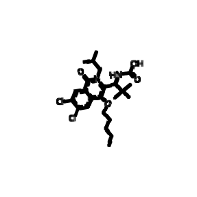 CCCCCOc1c(C(NC(=O)O)C(C)(C)C)n(CC(C)C)c(=O)c2cc(Cl)c(Cl)cc12